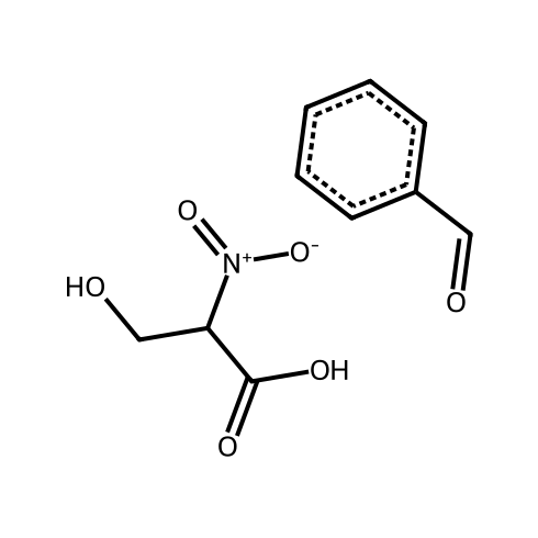 O=C(O)C(CO)[N+](=O)[O-].O=Cc1ccccc1